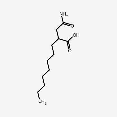 CCCCCCCCC(CC(N)=O)C(=O)O